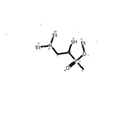 CCOP(C)(=O)C(S)CN(CC)CC